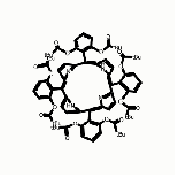 CC(C)(C)C(=O)Oc1cccc(OC(=O)C(C)(C)C)c1-c1c2nc(c(-c3c(OC(=O)C(C)(C)C)cccc3OC(=O)C(C)(C)C)c3ccc([nH]3)c(-c3c(OC(=O)C(C)(C)C)cccc3OC(=O)C(C)(C)C)c3nc(c(-c4c(OC(=O)C(C)(C)C)cccc4OC(=O)C(C)(C)C)c4ccc1[nH]4)C=C3)C=C2